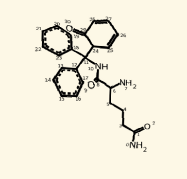 NC(=O)CCCC(N)C(=O)NC(c1ccccc1)(c1ccccc1)C1C=CC=CC1=O